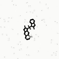 CC1=Cc2ccccc2C1C(C)(C)c1c(C)cc2cc3ccc[nH]c3cc12